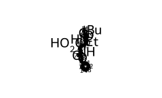 CC[C@H](C[C@H](CNC(=O)OCc1ccccc1)C(=O)O)NC(=O)OC(C)(C)C